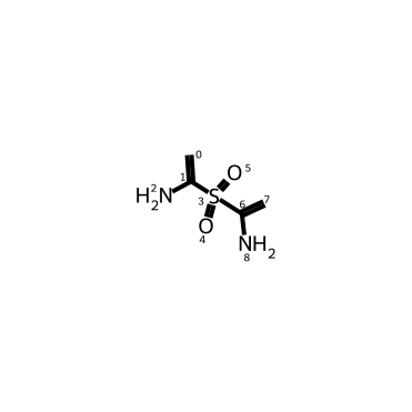 C=C(N)S(=O)(=O)C(=C)N